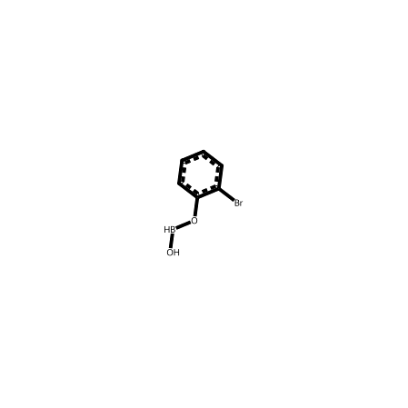 OBOc1ccccc1Br